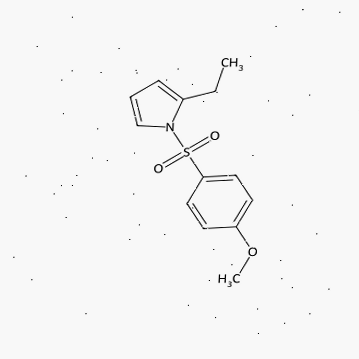 CCc1cccn1S(=O)(=O)c1ccc(OC)cc1